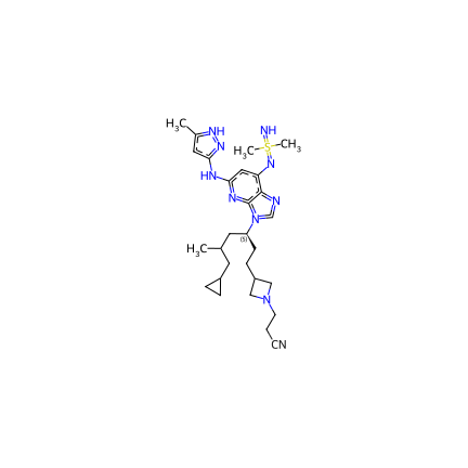 Cc1cc(Nc2cc(N=S(C)(C)=N)c3ncn([C@@H](CCC4CN(CCC#N)C4)CC(C)CC4CC4)c3n2)n[nH]1